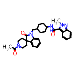 CC(=O)N1CCC2(CC1)C(=O)N(CC1CCC(NC(=O)c3c4ccccc4nn3C)CC1)c1ccccc12